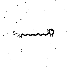 S=C=NCCCCCCCCCCc1ncccn1